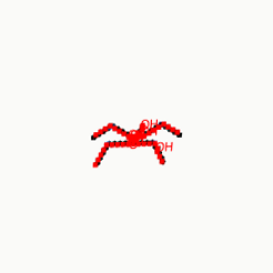 CCCCCCCC/C=C\CCCCCCCC(=O)OC(CCCCC/C=C\C[C@H](O)CCCCCC)C(OC(=O)CCCCCCC/C=C\CCCCCCCC)(OC(=O)CCCCCCC/C=C\CCCCCCCC)C(=O)OCC(O)CO